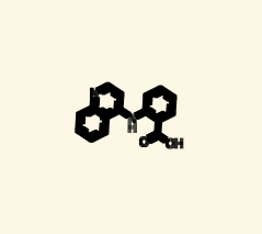 O=C(O)c1ccccc1Nc1ccnc2ccccc12